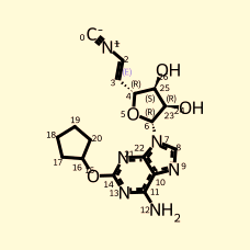 [C-]#[N+]/C=C/[C@H]1O[C@@H](n2cnc3c(N)nc(OC4CCCC4)nc32)[C@H](O)[C@@H]1O